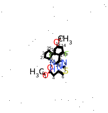 COC(=O)Cc1csc2nc(-c3c(F)cc(OC)cc3F)c(NC3CCCC3)n12